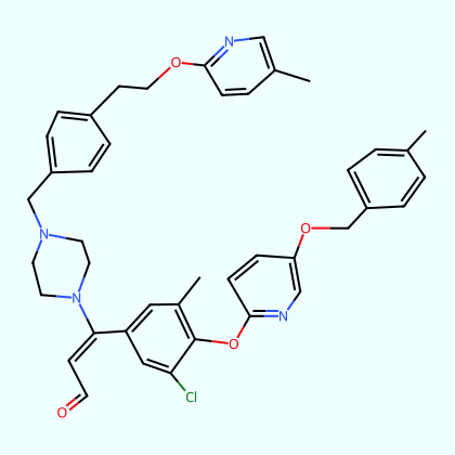 Cc1ccc(COc2ccc(Oc3c(C)cc(/C(=C\C=O)N4CCN(Cc5ccc(CCOc6ccc(C)cn6)cc5)CC4)cc3Cl)nc2)cc1